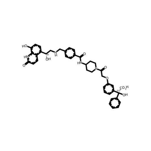 O=C(NC1CCN(C(=O)COc2cccc([C@](O)(C(=O)O)c3ccccc3)c2)CC1)c1ccc(CNC[C@H](O)c2ccc(O)c3[nH]c(=O)ccc23)cc1